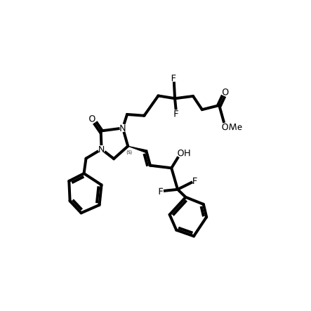 COC(=O)CCC(F)(F)CCCN1C(=O)N(Cc2ccccc2)C[C@@H]1C=CC(O)C(F)(F)c1ccccc1